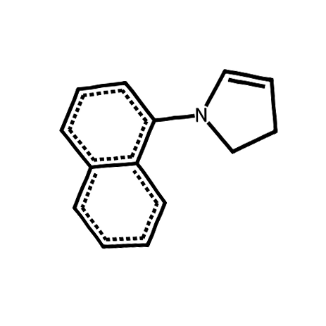 C1=CN(c2cccc3ccccc23)CC1